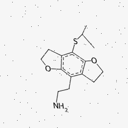 CC(C)Sc1c2c(c(CCN)c3c1OCC3)OCC2